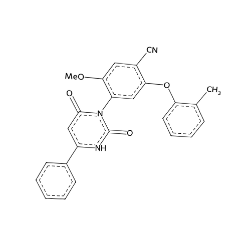 COc1cc(C#N)c(Oc2ccccc2C)cc1-n1c(=O)cc(-c2ccccc2)[nH]c1=O